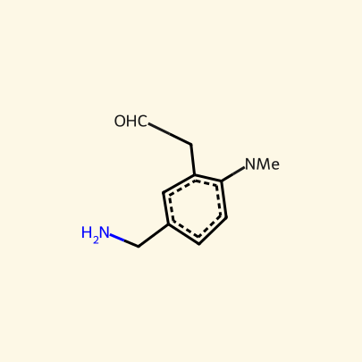 CNc1ccc(CN)cc1CC=O